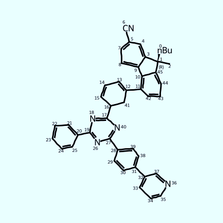 CCCC[C@]1(C)c2cc(C#N)ccc2-c2c(C3=CC=CC(c4nc(-c5ccccc5)nc(-c5ccc(-c6cccnc6)cc5)n4)C3)cccc21